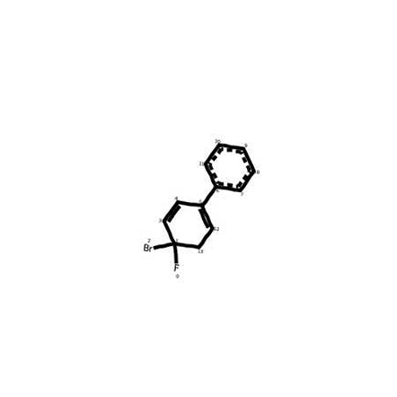 FC1(Br)C=CC(c2ccccc2)=CC1